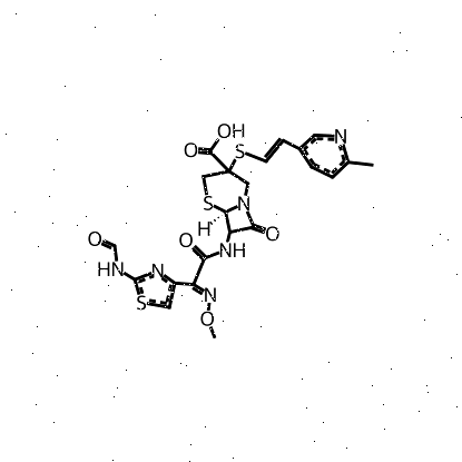 CON=C(C(=O)NC1C(=O)N2CC(SC=Cc3ccc(C)nc3)(C(=O)O)CS[C@H]12)c1csc(NC=O)n1